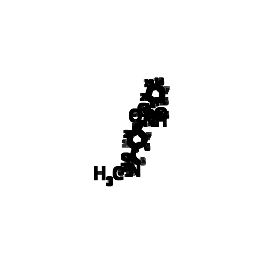 Cc1ncc(-c2ccc(C(=O)NS(=O)(=O)c3ccccc3)cc2)s1